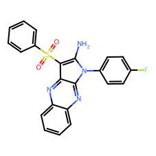 Nc1c(S(=O)(=O)c2ccccc2)c2nc3ccccc3nc2n1-c1ccc(F)cc1